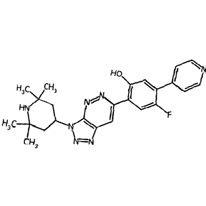 CC1(C)CC(n2nnc3cc(-c4cc(F)c(-c5ccncc5)cc4O)nnc32)CC(C)(C)N1